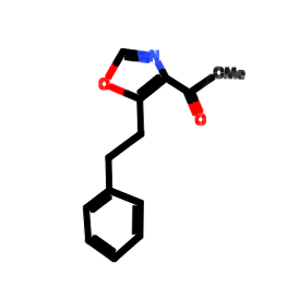 COC(=O)c1ncoc1CCc1ccccc1